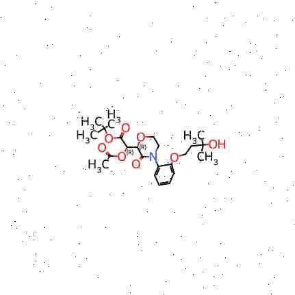 CC(=O)O[C@@H](C(=O)OC(C)(C)C)[C@H]1OCCN(c2ccccc2OCCC(C)(C)O)C1=O